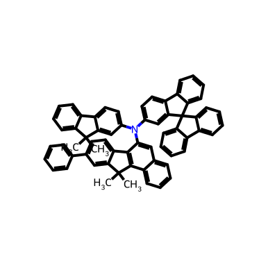 CC1(C)c2ccccc2-c2ccc(N(c3ccc4c(c3)C3(c5ccccc5-c5ccccc53)c3ccccc3-4)c3cc4ccccc4c4c3-c3ccc(-c5ccccc5)cc3C4(C)C)cc21